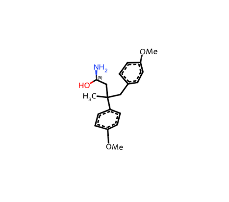 COc1ccc(CC(C)(C[C@H](N)O)c2ccc(OC)cc2)cc1